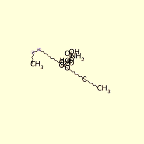 CCCCC/C=C\C/C=C\CCCCCCCCCCCC(=O)O[C@H](COCCCCCCCCCCCCCCCCCC)COP(=O)(O)OC[C@H](N)C(=O)O